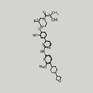 COc1nc(Nc2nccc(-c3ccc(O[C@@H]4CCN(C(=O)[C@@H](C)O)C[C@@H]4F)c(C#N)c3)n2)ccc1C1CCN(C2COC2)CC1